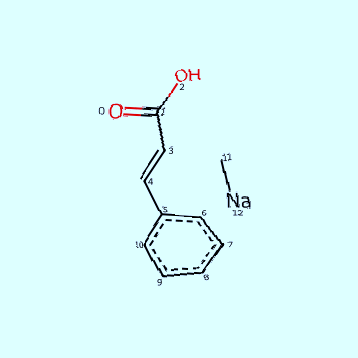 O=C(O)C=Cc1ccccc1.[CH3][Na]